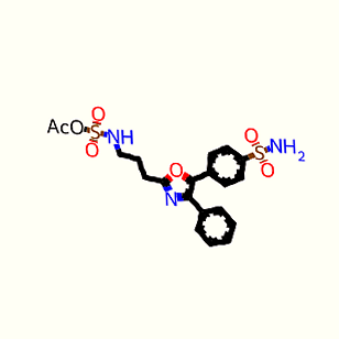 CC(=O)OS(=O)(=O)NCCCc1nc(-c2ccccc2)c(-c2ccc(S(N)(=O)=O)cc2)o1